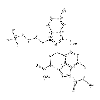 COC(=O)C(C)CC(c1c(OC)cc(C)c2c1ccn2C(=O)OC(C)(C)C)c1nc2cc(C#N)ccc2n1COCC[Si](C)(C)C